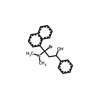 CN(C)C(Br)(CC(O)c1ccccc1)c1cccc2ccccc12